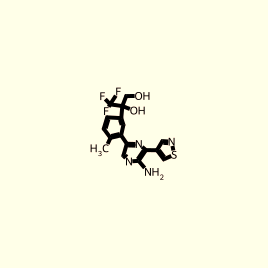 Cc1ccc(C(O)(CO)C(F)(F)F)cc1-c1cnc(N)c(-c2cnsc2)n1